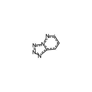 [c]1ccc2nnnn2n1